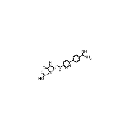 N=C(N)c1ccc(-c2ccc(NC[C@@H]3C[C@@H](CC(=O)O)C(=O)N3)nn2)cc1